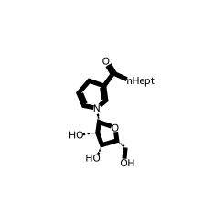 CCCCCCCC(=O)C1=CN([C@@H]2O[C@H](CO)[C@H](O)[C@@H]2O)C=CC1